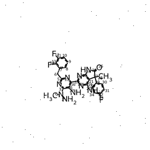 CN(N)c1nc(Cc2cccc(F)c2F)nc(-c2nc(N)c3c(n2)NC(=O)C3(C)c2ccc(F)cc2)c1N